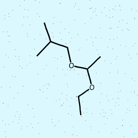 C[CH]OC(C)OCC(C)C